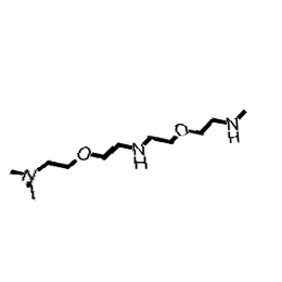 CNCCOCCNCCOCCN(C)I